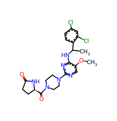 COc1cnc(N2CCN(C(=O)[C@H]3CCC(=O)N3)CC2)nc1NC(C)c1ccc(Cl)cc1Cl